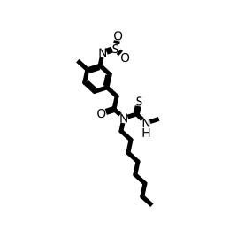 CCCCCCCCN(C(=O)Cc1ccc(C)c(N=S(=O)=O)c1)C(=S)NC